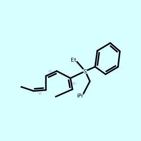 C\C=C/C=C\C(=C/C)S(CC)(CC(C)C)c1ccccc1